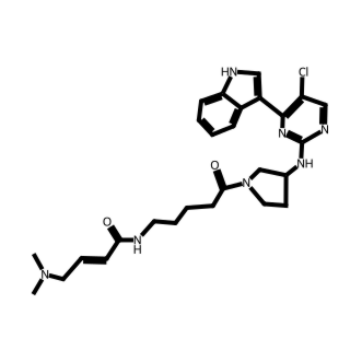 CN(C)CC=CC(=O)NCCCCC(=O)N1CCC(Nc2ncc(Cl)c(-c3c[nH]c4ccccc34)n2)C1